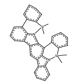 C[Si]1(C)c2ccccc2-c2c3c(cc4c5cccc6c5n(c24)[Si](C)(C)c2ccccc2-6)c2ccccc2n31